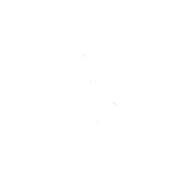 COC(=O)NNC(=O)c1cc2ccccc2c(Cl)c1NC(=O)c1cc(C(F)(F)F)nn1-c1ncccc1Cl